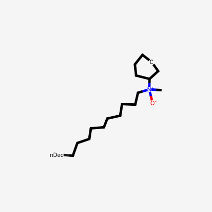 CCCCCCCCCCCCCCCCCCCC[N+](C)([O-])C1CCCCC1